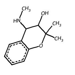 CNC1c2ccccc2OC(C)(C)C1O